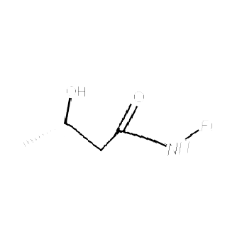 CCNC(=O)C[C@H](C)O